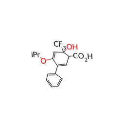 CC(C)OC1=CC(O)(C(F)(F)F)C(C(=O)O)C=C1c1ccccc1